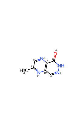 Cc1cnc2c(=O)[nH]ncc2n1